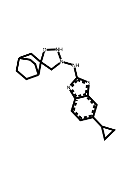 c1cc2nc(NN3CC4(CC5CCC4CC5)ON3)sc2cc1C1CC1